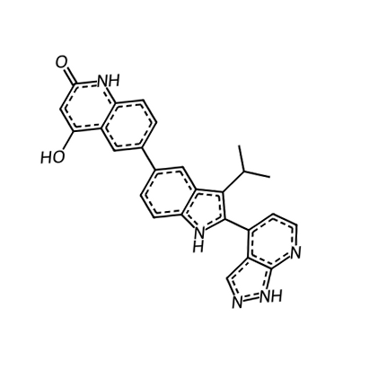 CC(C)c1c(-c2ccnc3[nH]ncc23)[nH]c2ccc(-c3ccc4[nH]c(=O)cc(O)c4c3)cc12